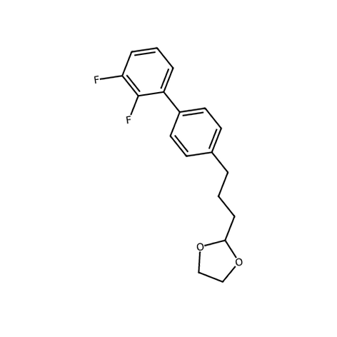 Fc1cccc(-c2ccc(CCCC3OCCO3)cc2)c1F